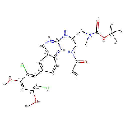 C=CC(=O)NC1CN(C(=O)OC(C)(C)C)CC1Nc1ncc2cc(-c3c(Cl)c(OC)cc(OC)c3Cl)ccc2n1